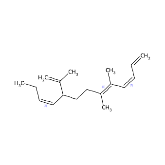 C=C/C=C\C(C)=C(/C)CCC(/C=C\CC)C(=C)C